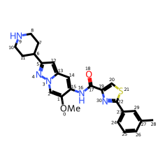 COc1cn2nc(C3CCNCC3)cc2cc1NC(=O)c1csc(-c2cccc(C)c2)n1